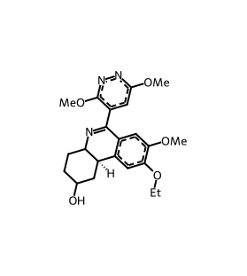 CCOc1cc2c(cc1OC)C(c1cc(OC)nnc1OC)=NC1CCC(O)C[C@H]21